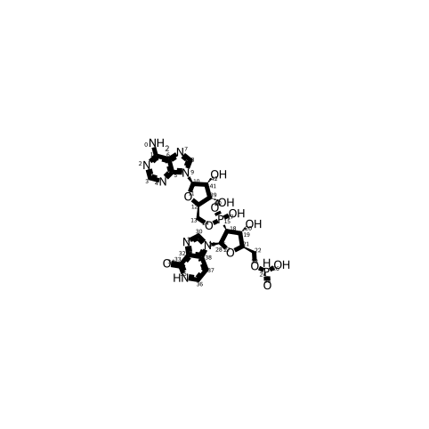 Nc1ncnc2c1ncn2[C@@H]1O[C@H](COP(=O)(O)[C@@H]2[C@H](O)[C@@H](CO[PH](=O)O)O[C@H]2n2cnc3c(=O)[nH]ccc32)[C@@H](O)[C@H]1O